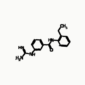 CCc1ccc[c]c1NC(=O)c1cccc(NC(=N)N)c1